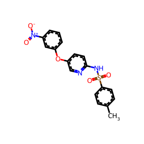 Cc1ccc(S(=O)(=O)Nc2ccc(Oc3cccc([N+](=O)[O-])c3)cn2)cc1